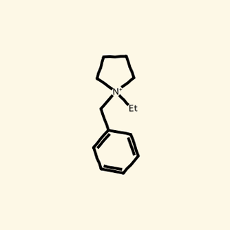 CC[N+]1(Cc2ccccc2)CCCC1